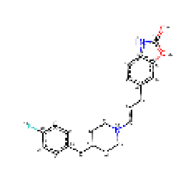 O=c1[nH]c2ccc(CC=CN3CCC(Cc4ccc(F)cc4)CC3)cc2o1